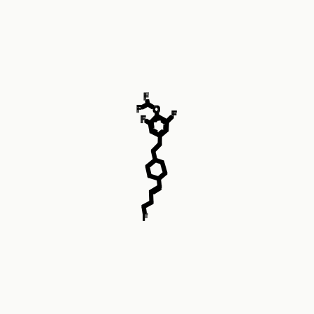 FCC/C=C/C1CCC(CCc2cc(F)c(OC(F)F)c(F)c2)CC1